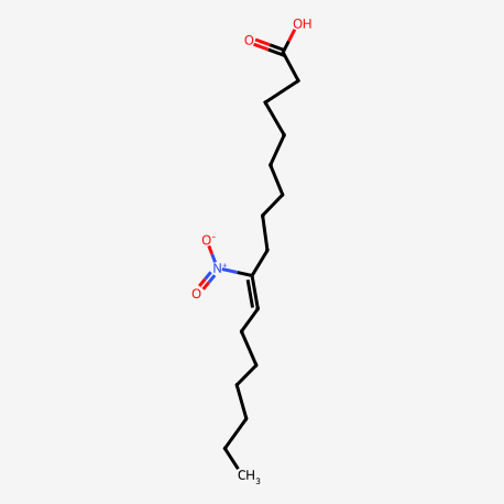 CCCCCCC=C(CCCCCCCC(=O)O)[N+](=O)[O-]